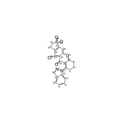 O=C1CCCC(n2ncc3ccccc32)=C1C(=O)c1ccc2c(c1Cl)CCS2(=O)=O